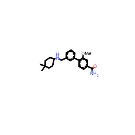 COc1cc(C(N)=O)ccc1-c1cccc(CNC2CCC(C)(C)CC2)c1